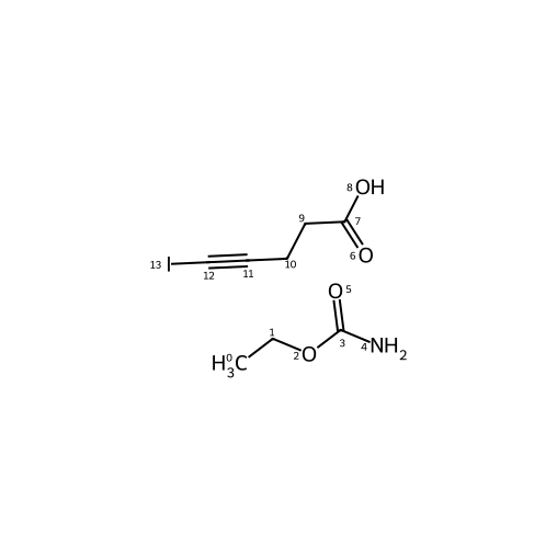 CCOC(N)=O.O=C(O)CCC#CI